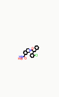 O=C(NO)c1ccc2c(c1)CN(C(=O)C(=Cc1ccccc1)c1ccccc1Cl)CC2